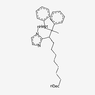 CCCCCCCCCCCCCCCCCC(c1nccn1CCCCCCC)C(C)(Cc1ccccc1)c1ccccc1